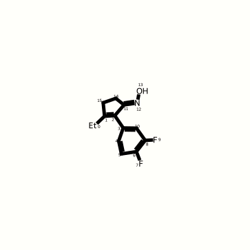 CCC1=C(c2ccc(F)c(F)c2)/C(=N/O)CC1